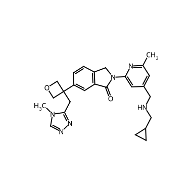 Cc1cc(CNCC2CC2)cc(N2Cc3ccc(C4(Cc5nncn5C)COC4)cc3C2=O)n1